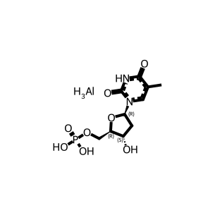 Cc1cn([C@H]2C[C@H](O)[C@@H](COP(=O)(O)O)O2)c(=O)[nH]c1=O.[AlH3]